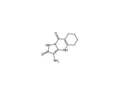 Nc1c(=O)[nH]n2c(=O)c3c([nH]c12)CCCC3